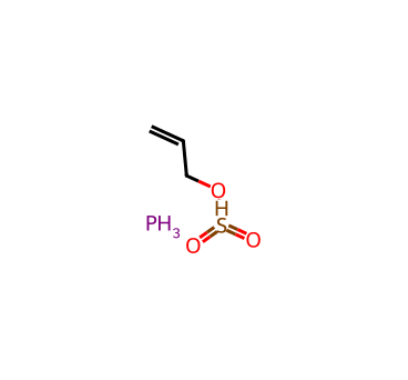 C=CCO[SH](=O)=O.P